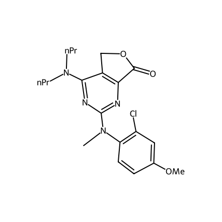 CCCN(CCC)c1nc(N(C)c2ccc(OC)cc2Cl)nc2c1COC2=O